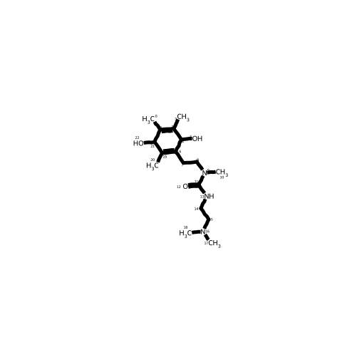 CC1=C(C)C(O)C(CCN(C)C(=O)NCCN(C)C)=C(C)C1O